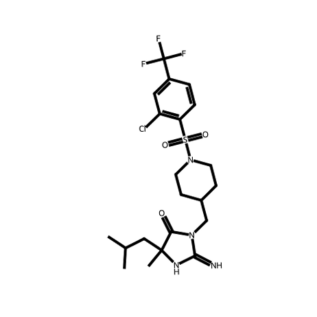 CC(C)CC1(C)NC(=N)N(CC2CCN(S(=O)(=O)c3ccc(C(F)(F)F)cc3Cl)CC2)C1=O